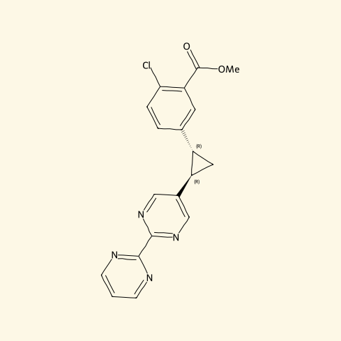 COC(=O)c1cc([C@@H]2C[C@H]2c2cnc(-c3ncccn3)nc2)ccc1Cl